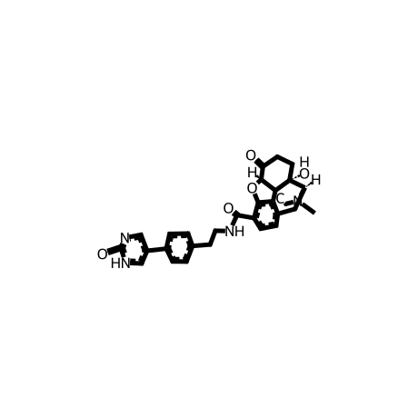 CN1CC[C@]23c4c5ccc(C(=O)NCCc6ccc(-c7cnc(=O)[nH]c7)cc6)c4O[C@H]2C(=O)CC[C@@]3(O)[C@H]1C5